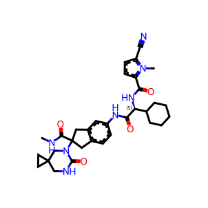 CNC(=O)C1(N2CC3(CC3)CNC2=O)Cc2ccc(NC(=O)[C@@H](NC(=O)c3ccc(C#N)n3C)C3CCCCC3)cc2C1